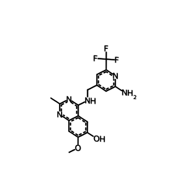 COc1cc2nc(C)nc(NCc3cc(N)nc(C(F)(F)F)c3)c2cc1O